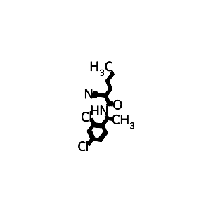 CCCCC(C#N)C(=O)NC(C)c1ccc(Cl)cc1Cl